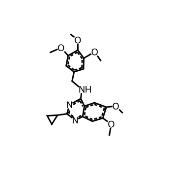 COc1cc2nc(C3CC3)nc(NCc3cc(OC)c(OC)c(OC)c3)c2cc1OC